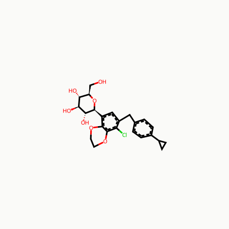 OC[C@H]1O[C@@H](c2cc(Cc3ccc(C4CC4)cc3)c(Cl)c3c2OCCO3)[C@H](O)[C@@H](O)[C@@H]1O